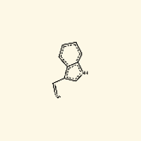 [Se]=Cc1c[nH]c2ccccc12